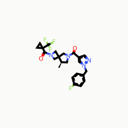 C[C@@H]1CN(C(=O)c2cnn(Cc3ccc(F)cc3)c2)CC12CN(C(=O)C1(C(F)(F)F)CC1)C2